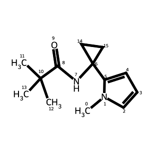 Cn1cccc1C1(NC(=O)C(C)(C)C)CC1